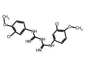 COc1ccc(NC(=N)NC(=N)Nc2ccc(OC)c(Cl)c2)cc1Cl